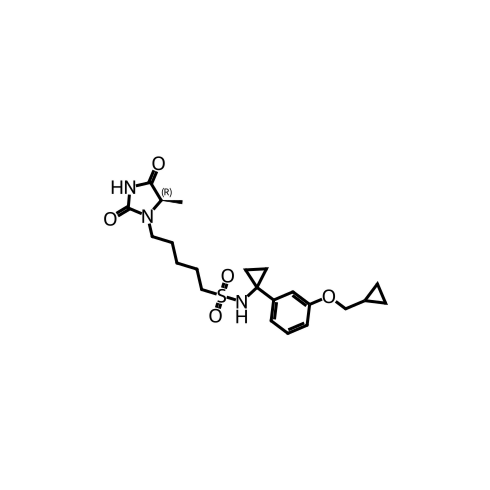 C[C@@H]1C(=O)NC(=O)N1CCCCCS(=O)(=O)NC1(c2cccc(OCC3CC3)c2)CC1